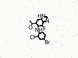 CC([O])c1cc2[nH]cnc2c(F)c1Nc1ccc(Br)cc1Cl